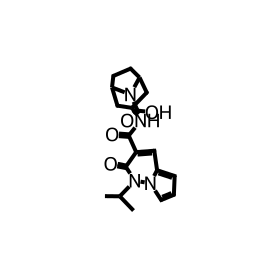 CC(C)n1c(=O)c(C(=O)NC2CC3CCC(C2)N3C(=O)O)cc2cccn21